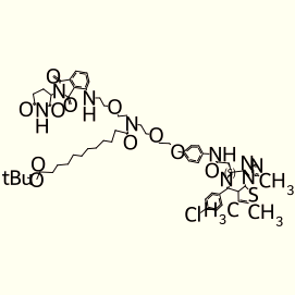 CC1=C(C)C2C(c3ccc(Cl)cc3)=N[C@@H](CC(=O)Nc3ccc(OCCOCCN(CCOCCNc4cccc5c4C(=O)N(C4CCC(=O)NC4=O)C5=O)C(=O)CCCCCCCCCCC(=O)OC(C)(C)C)cc3)c3nnc(C)n3C2S1